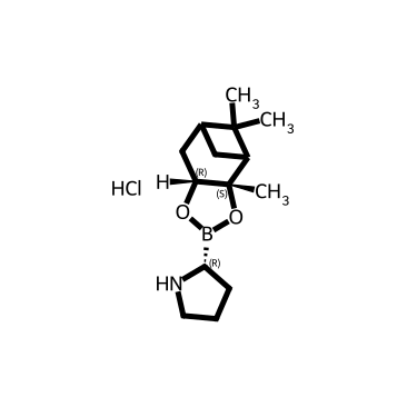 CC1(C)C2CC1[C@]1(C)OB([C@@H]3CCCN3)O[C@@H]1C2.Cl